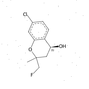 CC1(CF)C[C@H](O)c2ccc(Cl)cc2O1